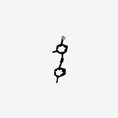 Cc1ccc(C#Cc2ccc(Br)cc2C)cc1